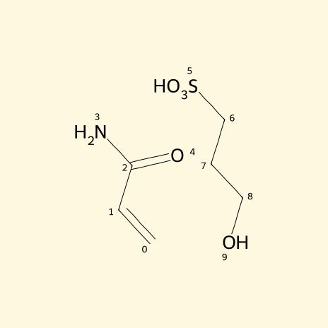 C=CC(N)=O.O=S(=O)(O)CCCO